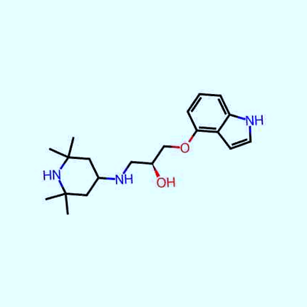 CC1(C)CC(NC[C@H](O)COc2cccc3[nH]ccc23)CC(C)(C)N1